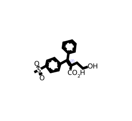 CS(=O)(=O)c1ccc(/C(=C(/CCO)C(=O)O)c2ccccc2)cc1